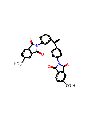 C=C(c1ccc(N2C(=O)c3ccc(C(=O)O)cc3C2=O)cc1)c1cccc(N2C(=O)c3ccc(C(=O)O)cc3C2=O)c1